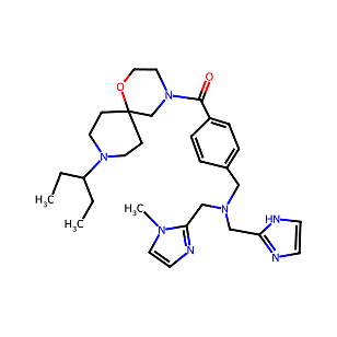 CCC(CC)N1CCC2(CC1)CN(C(=O)c1ccc(CN(Cc3ncc[nH]3)Cc3nccn3C)cc1)CCO2